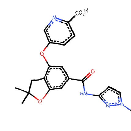 Cn1ccc(NC(=O)c2cc(Oc3ccc(C(=O)O)nc3)c3c(c2)OC(C)(C)C3)n1